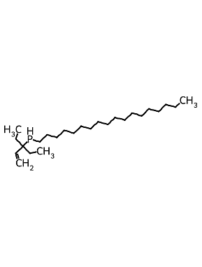 C=CC(CC)(CC)PCCCCCCCCCCCCCCCCCC